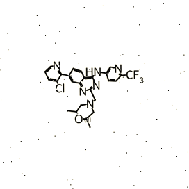 CC1CN(Cc2nc(Nc3ccc(C(F)(F)F)nc3)c3ccc(-c4ncccc4Cl)cc3n2)C[C@@H](C)O1